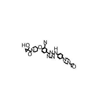 N#Cc1cc(-c2ncnc(Nc3ccc(N4CCN(C5COC5)CC4)cc3)n2)ccc1OC1CCN(C(=O)C2(CO)CC2)CC1